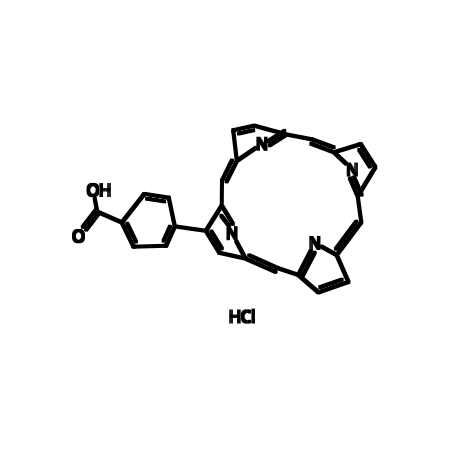 Cl.O=C(O)c1ccc(C2=CC3=CC4=NC(=CC5=NC(=CC6=NC(=CC2=N3)C=C6)C=C5)C=C4)cc1